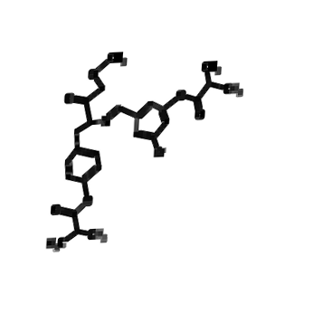 COCC(=O)C(Cc1ccc(OC(=O)C(C)C)cc1)N=Cc1cc(Br)cc(OC(=O)C(C)C)c1